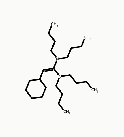 CCCCN(CCCC)C(=CC1CCCCC1)N(CCCC)CCCC